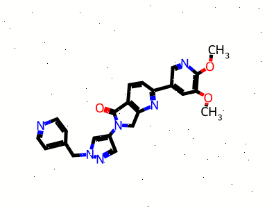 COc1cc(-c2ccc3c(n2)CN(c2cnn(Cc4ccncc4)c2)C3=O)cnc1OC